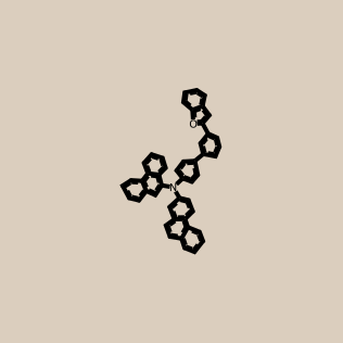 c1cc(-c2ccc(N(c3ccc4c(ccc5ccccc54)c3)c3cc4ccccc4c4ccccc34)cc2)cc(-c2cc3ccccc3o2)c1